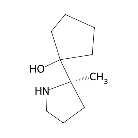 C[C@]1(C2(O)CCCC2)CCCN1